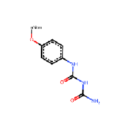 CCCCCCCCCOc1ccc(NC(=O)NC(N)=O)cc1